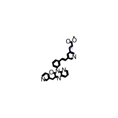 COC(=O)/C=C/c1cncc(C=Cc2cccc(-n3c(=O)c(Cc4cccnc4)nc4cccnc43)c2)c1